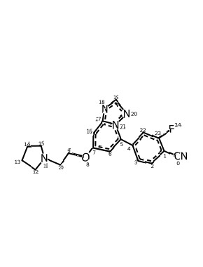 N#Cc1ccc(-c2cc(OCCN3CCCC3)cc3ncnn23)cc1F